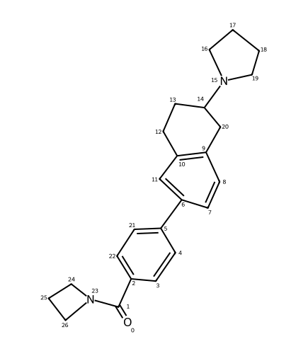 O=C(c1ccc(-c2ccc3c(c2)CCC(N2CCCC2)C3)cc1)N1CCC1